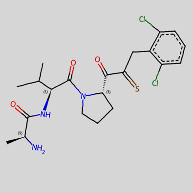 CC(C)[C@H](NC(=O)[C@H](C)N)C(=O)N1CCC[C@H]1C(=O)C(=S)Cc1c(Cl)cccc1Cl